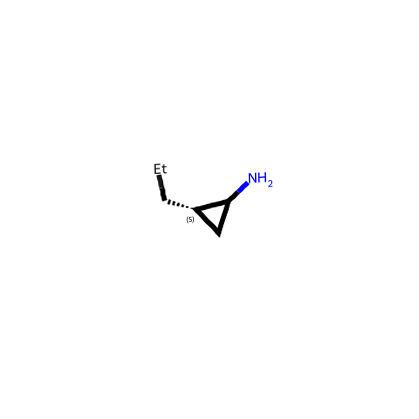 CCC[C@H]1CC1N